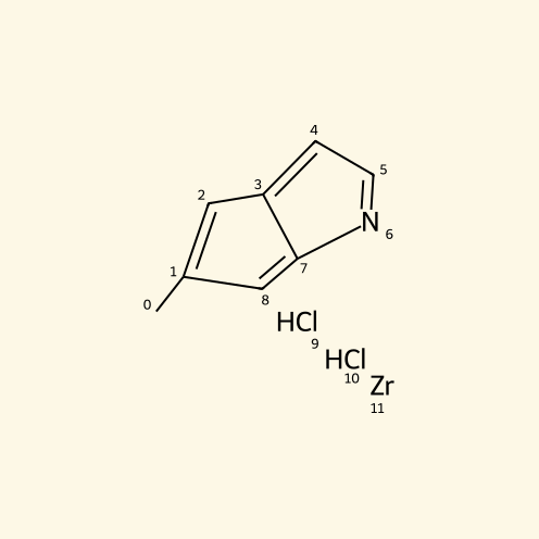 CC1=CC2=CC=NC2=C1.Cl.Cl.[Zr]